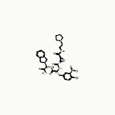 NC(=O)[C@H](NC(=O)[C@@H](Cc1ccc(O)c([N+](=O)[O-])c1)NC(=O)[C@H]1OC1C(=O)NCCN1CCCC1)C1Cc2ccccc2C1